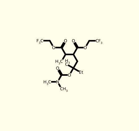 CCC(C)(CC(C(=O)OCC(F)(F)F)C(C)C(=O)OCC(F)(F)F)OC(=O)N(C)C